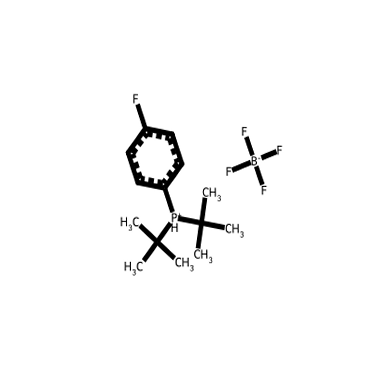 CC(C)(C)[PH+](c1ccc(F)cc1)C(C)(C)C.F[B-](F)(F)F